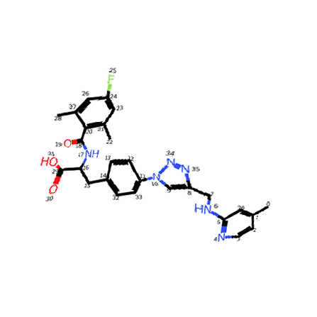 Cc1ccnc(NCc2cn(-c3ccc(CC(NC(=O)c4c(C)cc(F)cc4C)C(=O)O)cc3)nn2)c1